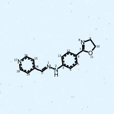 C(=NNc1ccc(C2=NCCO2)cc1)c1ccncc1